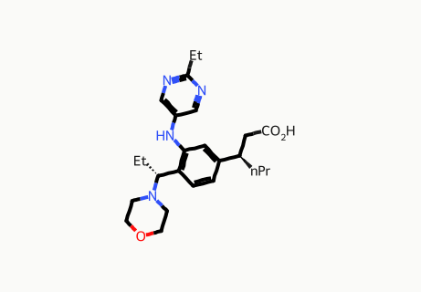 CCC[C@H](CC(=O)O)c1ccc([C@@H](CC)N2CCOCC2)c(Nc2cnc(CC)nc2)c1